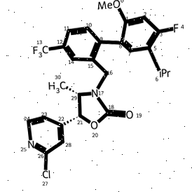 COc1cc(F)c(C(C)C)cc1-c1ccc(C(F)(F)F)cc1CN1C(=O)O[C@H](c2ccnc(Cl)c2)[C@@H]1C